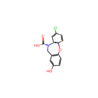 O=C(O)N1Cc2cc(O)ccc2Oc2ccc(Cl)cc21